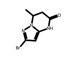 CC1CC(=O)Nc2cc(Br)nn21